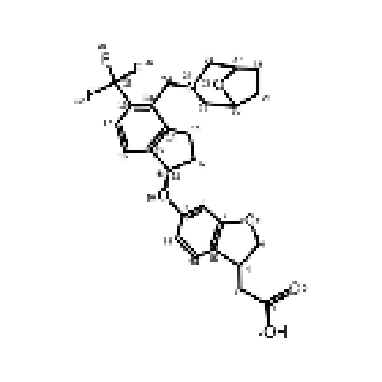 O=C(O)CC1COc2cc(O[C@@H]3CCc4c3ccc(C(F)(F)F)c4CN3CC4CCC(C3)O4)ccc21